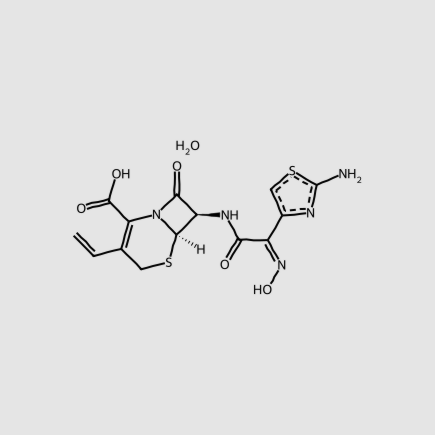 C=CC1=C(C(=O)O)N2C(=O)[C@@H](NC(=O)/C(=N\O)c3csc(N)n3)[C@H]2SC1.O